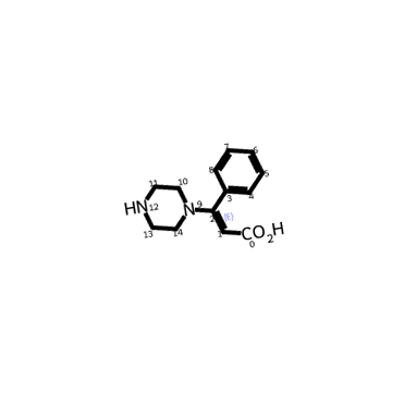 O=C(O)/C=C(\c1ccccc1)N1CCNCC1